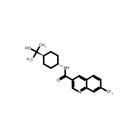 CC(C)(O)[C@H]1CC[C@H](NC(=O)c2cnc3cc(C(F)(F)F)ccc3c2)CC1